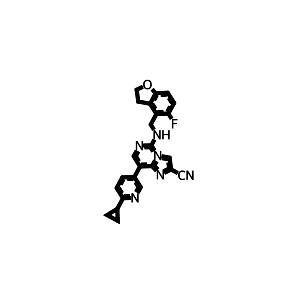 N#Cc1cn2c(NCc3c(F)ccc4c3CCO4)ncc(-c3ccc(C4CC4)nc3)c2n1